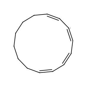 [C]1=CC=CC=CCCCCCCC=C1